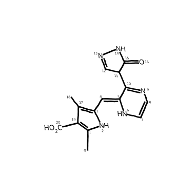 Cc1[nH]c(C=C2NC=CN=C2C2C=NNC2=O)c(C)c1C(=O)O